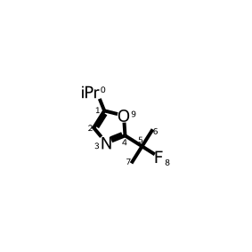 CC(C)c1cnc(C(C)(C)F)o1